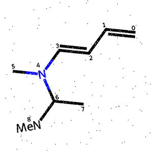 C=C/C=C/N(C)C(C)NC